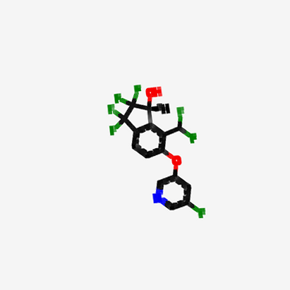 [2H][C@@]1(O)c2c(ccc(Oc3cncc(F)c3)c2C(F)F)C(F)(F)C1(F)F